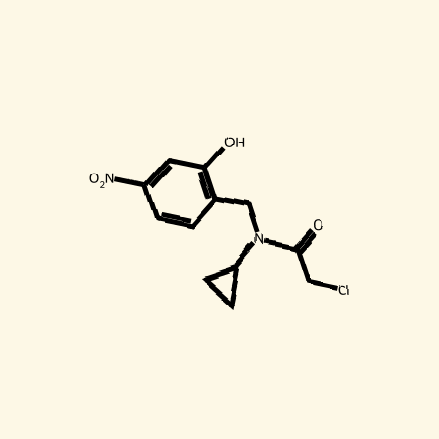 O=C(CCl)N(Cc1ccc([N+](=O)[O-])cc1O)C1CC1